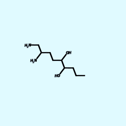 CCCC(O)C(O)CCC(N)CN